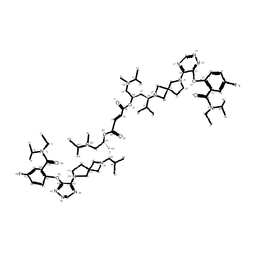 CCN(C(=O)c1cc(F)ccc1Oc1nncnc1N1CCC2(C1)CN([C@H](C[C@H](CN(C)C(C)C)OC(=O)/C=C/C(=O)O[C@H](C[C@H](C(C)C)N1CC3(CCN(c4ncnnc4Oc4ccc(F)cc4C(=O)N(CC)C(C)C)C3)C1)CN(C)C(C)C)C(C)C)C2)C(C)C